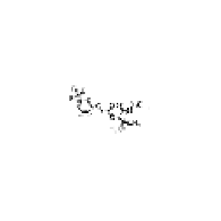 C=C(C)C(OC(=O)COc1cccc(C(F)(F)F)c1)C(=O)OCC